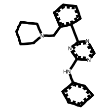 c1ccc(Nc2ncnc(-c3ccccc3CN3CCCCC3)n2)cc1